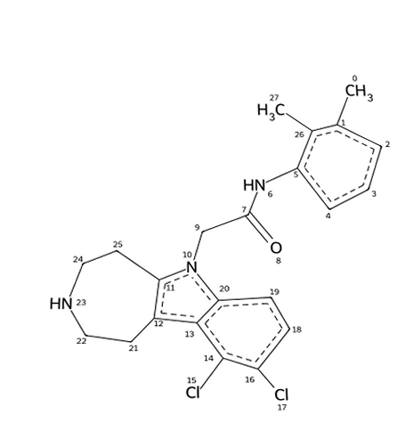 Cc1cccc(NC(=O)Cn2c3c(c4c(Cl)c(Cl)ccc42)CCNCC3)c1C